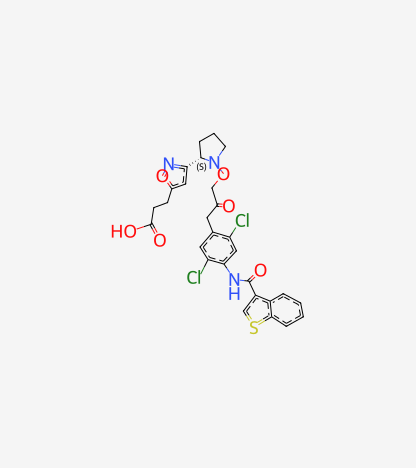 O=C(O)CCc1cc([C@@H]2CCCN2OCC(=O)Cc2cc(Cl)c(NC(=O)c3csc4ccccc34)cc2Cl)no1